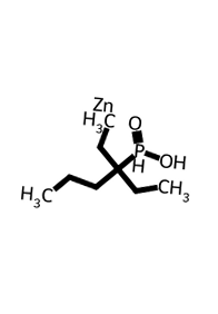 CCCC(CC)(CC)[PH](=O)O.[Zn]